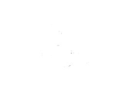 Cc1cc(Cl)nc(Cl)c1CNC(CO)C1CCCO1